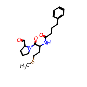 CSCCC(NC(=O)CCCc1ccccc1)C(=O)N1CCCC1C=O